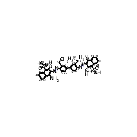 CCc1cc(-c2ccc(/N=N/c3c(O)c(S(=O)(=O)O)c4ccccc4c3N)c(CC)c2)ccc1/N=N/c1c(O)c(S(=O)(=O)O)c2ccccc2c1N